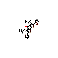 Cc1c(-c2cccs2)sc2c1C(=O)c1c-2sc(-c2cccs2)c1C